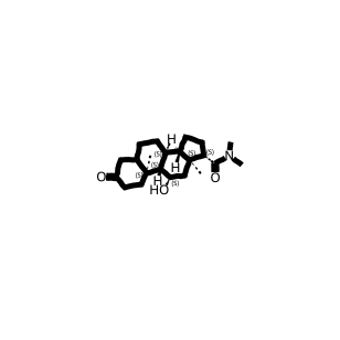 CN(C)C(=O)[C@H]1CC[C@H]2[C@@H]3CCC4CC(=O)CC[C@]4(C)[C@H]3[C@@H](O)C[C@]12C